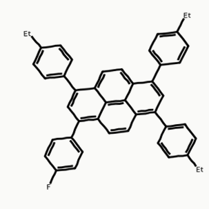 CCc1ccc(-c2cc(-c3ccc(F)cc3)c3ccc4c(-c5ccc(CC)cc5)cc(-c5ccc(CC)cc5)c5ccc2c3c45)cc1